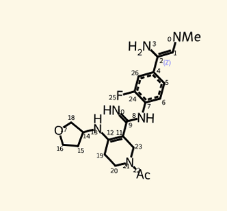 CN/C=C(\N)c1ccc(NC(=N)C2=C(NC3CCOC3)CCN(C(C)=O)C2)c(F)c1